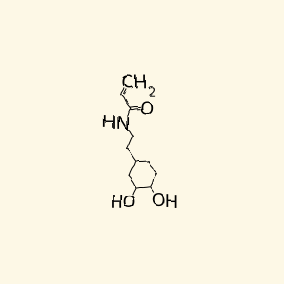 C=CC(=O)NCCC1CCC(O)C(O)C1